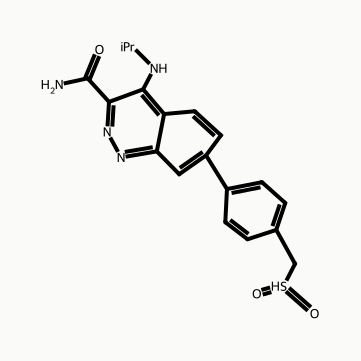 CC(C)Nc1c(C(N)=O)nnc2cc(-c3ccc(C[SH](=O)=O)cc3)ccc12